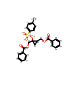 CCc1ccc(S(=O)(=O)OC2(COC(=O)c3ccccc3)CC2COC(=O)c2ccccc2)cc1